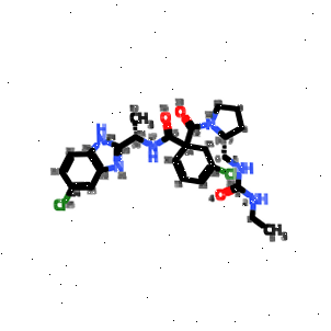 CCNC(=O)NC[C@H]1CCCN1C(=O)C1(C(=O)N[C@@H](C)c2nc3cc(Cl)ccc3[nH]2)C=CC=C(Cl)C1